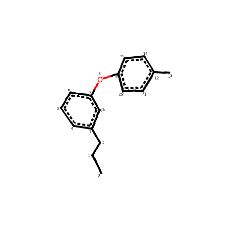 CCCc1cccc(Oc2ccc(C)cc2)c1